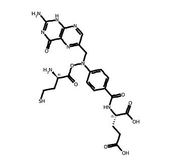 Nc1nc(=O)c2nc(CN(OC(=O)[C@H](N)CCS)c3ccc(C(=O)N[C@@H](CCC(=O)O)C(=O)O)cc3)cnc2[nH]1